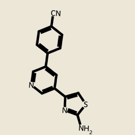 N#Cc1ccc(-c2cncc(-c3csc(N)n3)c2)cc1